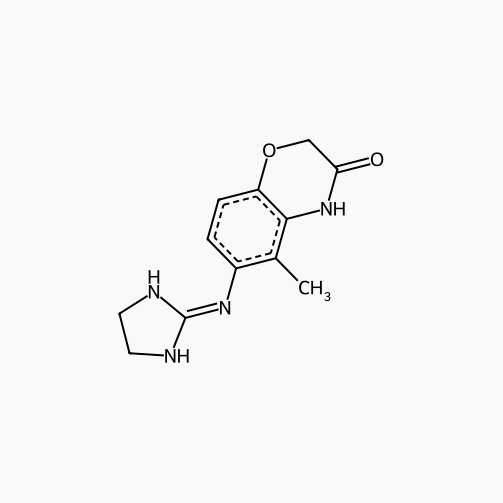 Cc1c(N=C2NCCN2)ccc2c1NC(=O)CO2